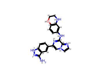 Nc1n[nH]c2ccc(-c3cn4ccnc4c(Nc4ccc5c(c4)NCCO5)n3)cc12